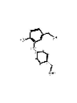 Nc1ccc(CO)cc1N[C@H]1CC[C@@H](CC=O)CC1